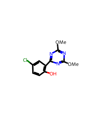 COc1nc(OC)nc(-c2cc(Cl)ccc2O)n1